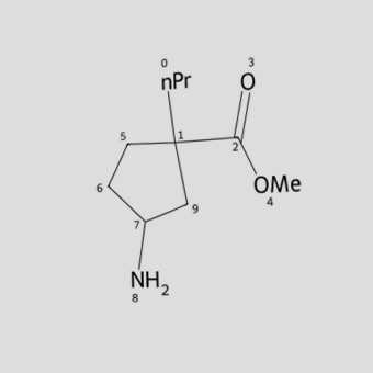 CCCC1(C(=O)OC)CCC(N)C1